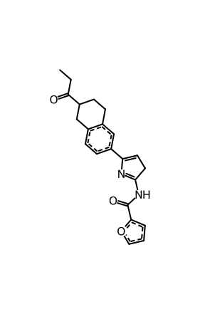 CCC(=O)C1CCc2cc(C3=CCC(NC(=O)c4ccco4)=N3)ccc2C1